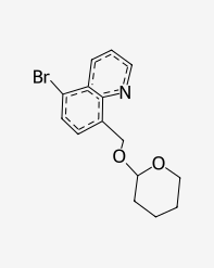 Brc1ccc(COC2CCCCO2)c2ncccc12